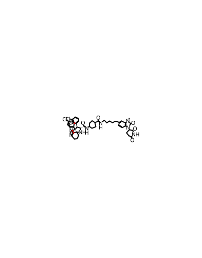 Cn1c(=O)n(C2CCC(=O)NC2=O)c2ccc(CCCCCNC(=O)C3CCC(NC(=O)[C@@H]4NC5(CCCCC5)[C@@]5(C(=O)Nc6cc(Cl)ccc65)[C@H]4c4cccc(Cl)c4F)CC3)cc21